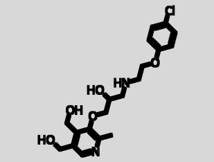 Cc1ncc(CO)c(CO)c1OCC(O)CNCCOc1ccc(Cl)cc1